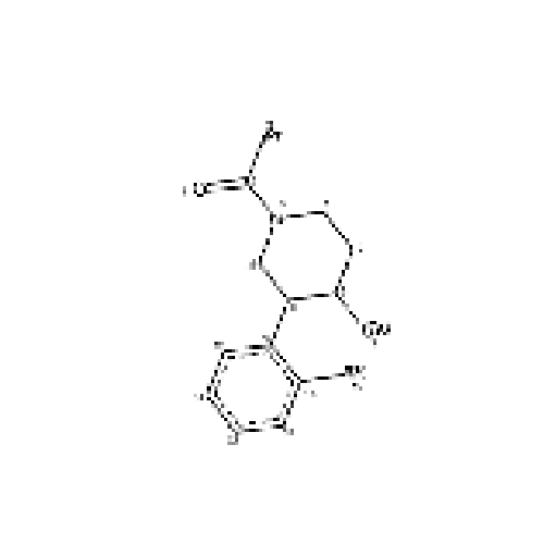 CC(C)C(=O)N1CCC(C(C)(C)C)C(c2ccccc2C(C)C)C1